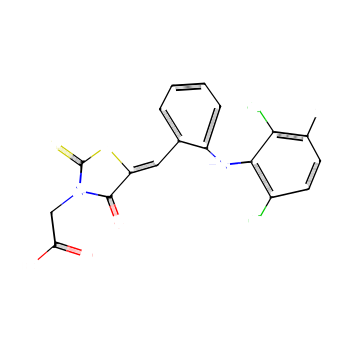 Cc1ccc(Cl)c(Nc2ccccc2/C=C2\SC(=S)N(CC(=O)O)C2=O)c1Cl